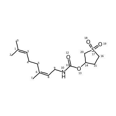 CC(C)=CCC/C(C)=C\CNC(=O)OC1CCS(=O)(=O)C1